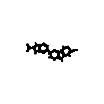 CN(C)c1nc2ccc(N3CCc4[nH]c5cc(F)ccc5c4C3)cc2o1